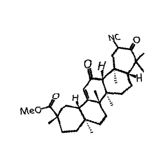 [C-]#[N+]C1C[C@]2(C)[C@H]3C(=O)C=C4[C@H]5C[C@@](C)(C(=O)OC)CC[C@]5(C)CC[C@@]4(C)[C@]3(C)CC[C@H]2C(C)(C)C1=O